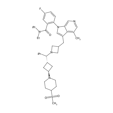 CCN(C(=O)c1cc(F)ccc1-n1cc(CC2CN(C(C(C)C)[C@H]3C[C@H](N4CCC(S(C)(=O)=O)CC4)C3)C2)c2c(C)cncc21)C(C)C